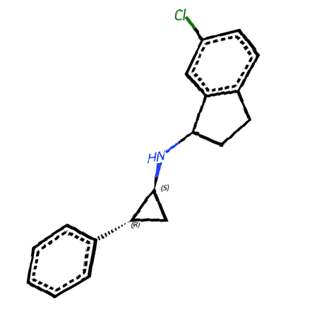 Clc1ccc2c(c1)C(N[C@H]1C[C@@H]1c1ccccc1)CC2